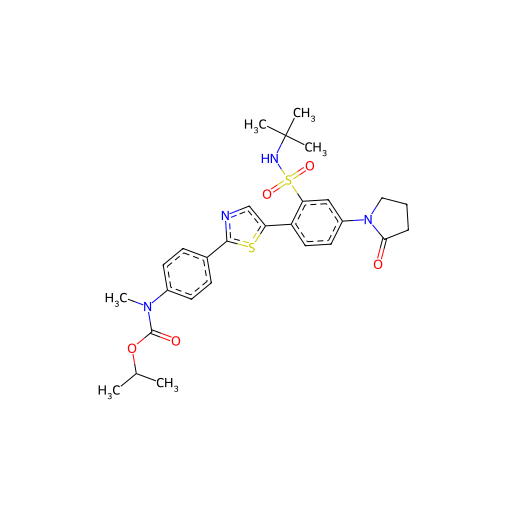 CC(C)OC(=O)N(C)c1ccc(-c2ncc(-c3ccc(N4CCCC4=O)cc3S(=O)(=O)NC(C)(C)C)s2)cc1